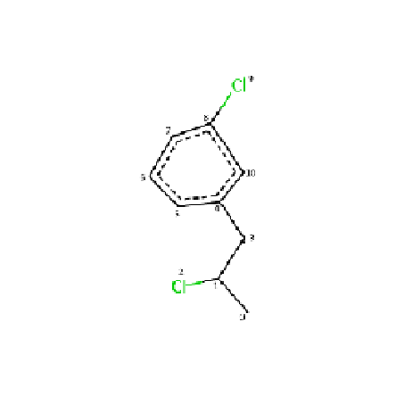 CC(Cl)[CH]c1cccc(Cl)c1